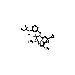 C=CC(=O)Nc1cccc(CN(C(=O)OC(C)(C)C)c2cc(C3CC3)nc3c(C(C)C)cnn23)c1